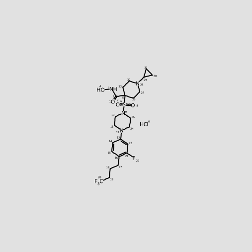 Cl.O=C(NO)C1(S(=O)(=O)N2CCN(c3ccc(CCCC(F)(F)F)c(F)c3)CC2)CCN(C2CC2)CC1